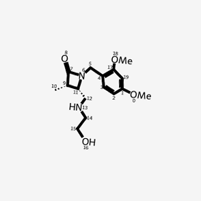 COc1ccc(CN2C(=O)[C@@H](C)[C@H]2CNCCO)c(OC)c1